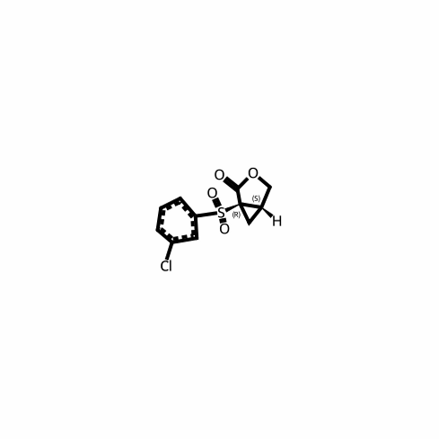 O=C1OC[C@@H]2C[C@]12S(=O)(=O)c1cccc(Cl)c1